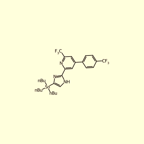 CCC[CH2][Sn]([CH2]CCC)([CH2]CCC)[c]1c[nH]c(-c2cc(-c3ccc(C(F)(F)F)cc3)cc(C(F)(F)F)n2)n1